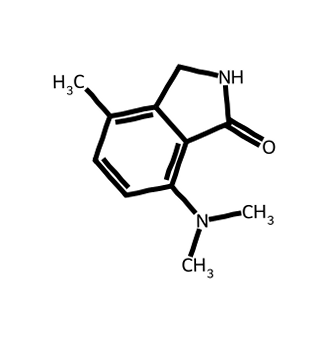 Cc1ccc(N(C)C)c2c1CNC2=O